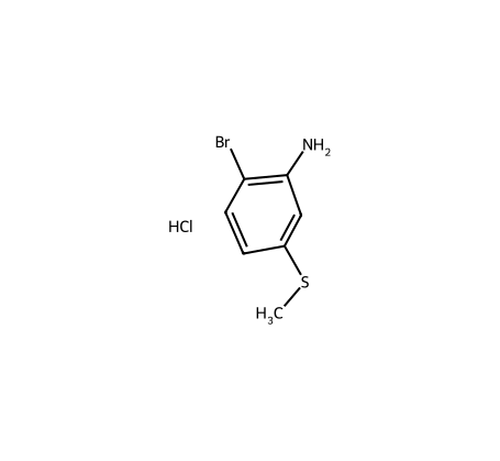 CSc1ccc(Br)c(N)c1.Cl